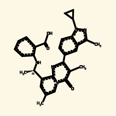 Cc1cc([C@H](C)Nc2ccccc2C(=O)O)c2nc(-c3ccc4c(c3)c(C)nn4C3CC3)c(C)c(=O)n2c1